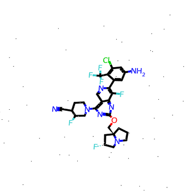 N#CC1CCN(c2nc(OC[C@@]34CCCN3C[C@H](F)C4)nc3c(F)c(-c4cc(N)cc(Cl)c4C(F)(F)F)ncc23)CC1F